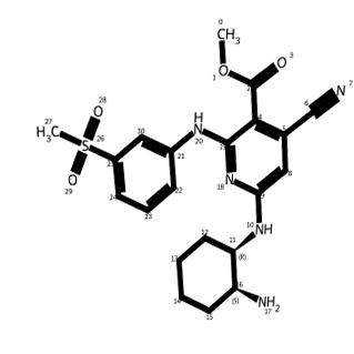 COC(=O)c1c(C#N)cc(N[C@@H]2CCCC[C@@H]2N)nc1Nc1cccc(S(C)(=O)=O)c1